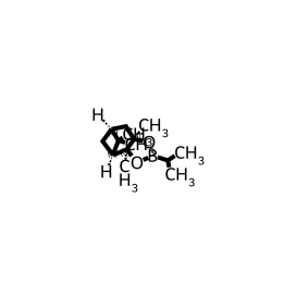 CC(C)B1O[C@]2(C)C[C@@H]3C[C@@H](C3(C)C)[C@]2(C)O1